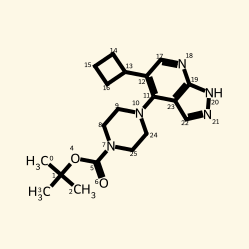 CC(C)(C)OC(=O)N1CCN(c2c(C3CCC3)cnc3[nH]ncc23)CC1